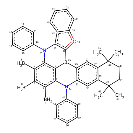 Bc1c(B)c2c3c(c1B)N(c1ccccc1)c1c(oc4ccccc14)B3c1cc3c(cc1N2c1ccccc1)C(C)(C)CCC3(C)C